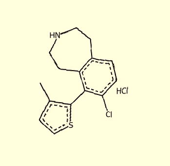 Cc1ccsc1-c1c(Cl)ccc2c1CCNCC2.Cl